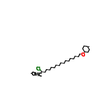 O=[C]C(Cl)CCCCCCCCCCCCCCCCOC1CC[CH]CC1